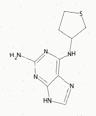 Nc1nc(NC2CCSC2)c2nc[nH]c2n1